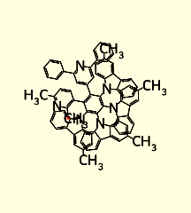 Cc1ccc2c(c1)c1ccccc1n2-c1c(-c2cc(-c3ccccc3)nc(-c3ccccc3)c2)c(-c2ccc(C)nc2C)c(-n2c3ccccc3c3cc(C)ccc32)c(-n2c3ccccc3c3cc(C)ccc32)c1-n1c2ccccc2c2cc(C)ccc21